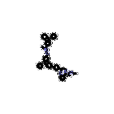 C=C/C=C\C(=C)N1/C=C/CC(C2=CCC(C3=CC4c5cc(/C=C/C=C(\C=C)c6ccc7c(c6)C6C=CC=CC6N7c6ccccc6)ccc5N(c5ccccc5)C4C=C3)C=C2)/C=C/c2ccccc21